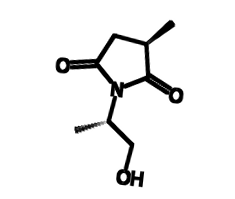 C[C@@H]1CC(=O)N([C@@H](C)CO)C1=O